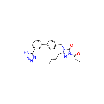 CC=CCc1nn(C(=O)CC)c(=O)n1Cc1ccc(-c2cccc(-c3nnn[nH]3)c2)cc1